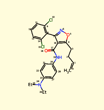 C=CCCc1onc(-c2c(Cl)cccc2Cl)c1C(=O)Nc1ccc(N(CC)CC)cc1